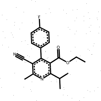 CCOC(=O)c1c(C(C)C)nc(C)c(C#N)c1-c1ccc(F)cc1